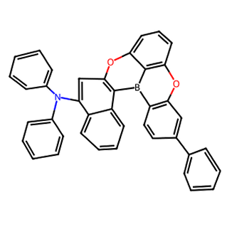 c1ccc(-c2ccc3c(c2)Oc2cccc4c2B3c2c(cc(N(c3ccccc3)c3ccccc3)c3ccccc23)O4)cc1